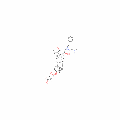 CC(C)C1=C2[C@H]3CC[C@@H]4[C@@]5(C)CC[C@H](OC(=O)CC(C)(C)C(=O)O)C(C)(C)[C@@H]5CC[C@@]4(C)[C@]3(C)CC[C@@]2([C@H](O)CN(CCc2ccccc2)CCN(C)C)CC1=O